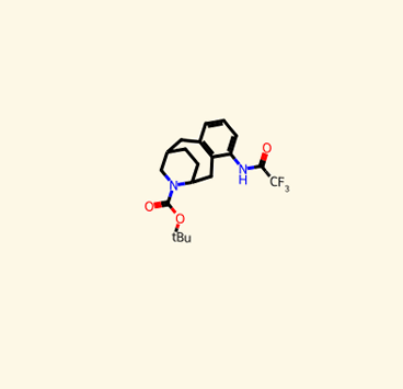 CC(C)(C)OC(=O)N1CC2CCC1Cc1c(cccc1NC(=O)C(F)(F)F)C2